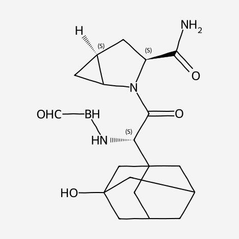 NC(=O)[C@@H]1C[C@@H]2CC2N1C(=O)[C@@H](NBC=O)C12CC3CC(CC(O)(C3)C1)C2